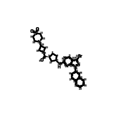 O=C([C@@H]1CC[C@@H](Nc2ncc3c(Br)nn(-c4ccc5ncccc5c4)c3n2)C1)N1CC(N2CCS(=O)(=O)CC2)C1